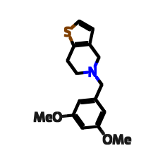 COc1cc(CN2CCc3sccc3C2)cc(OC)c1